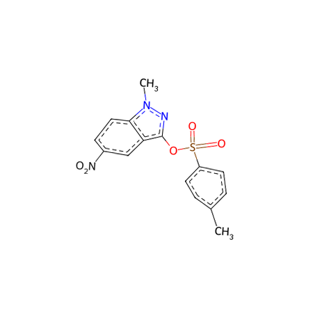 Cc1ccc(S(=O)(=O)Oc2nn(C)c3ccc([N+](=O)[O-])cc23)cc1